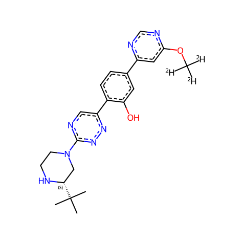 [2H]C([2H])([2H])Oc1cc(-c2ccc(-c3cnc(N4CCN[C@@H](C(C)(C)C)C4)nn3)c(O)c2)ncn1